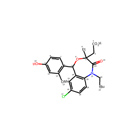 CCC1(CC(=O)O)OC(c2ccc(O)cc2OC)c2cc(Cl)ccc2N(CC(C)(C)C)C1=O